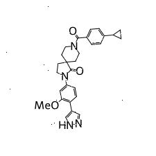 COc1cc(N2CCC3(CCN(C(=O)c4ccc(C5CC5)cc4)CC3)C2=O)ccc1-c1cn[nH]c1